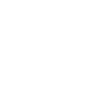 OCCCCCCCCCCCCCCc1ccc2cccc(OCC3CC3)c2n1